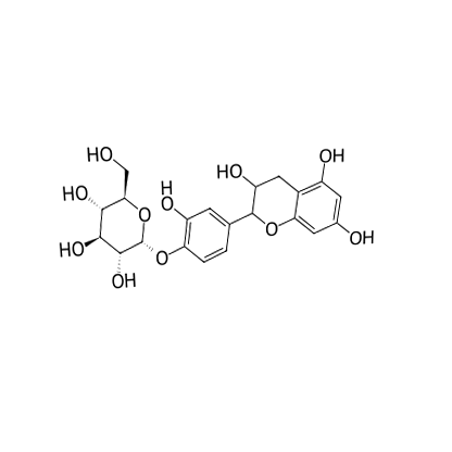 OC[C@H]1O[C@H](Oc2ccc(C3Oc4cc(O)cc(O)c4CC3O)cc2O)[C@H](O)[C@@H](O)[C@@H]1O